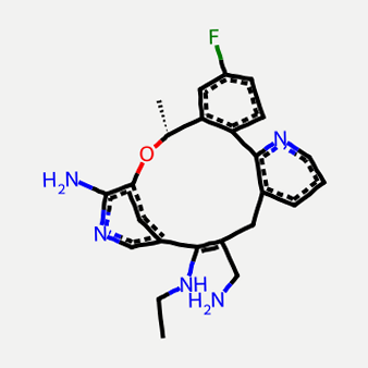 CCN/C1=C(\CN)Cc2cccnc2-c2ccc(F)cc2[C@@H](C)Oc2cc1cnc2N